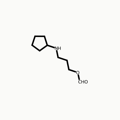 O=COCCCNC1CCCC1